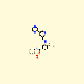 Cc1ccc(C(=O)N[C@H]2CCCC[C@@H]2O)cc1NCc1cncc(-c2cnccn2)c1